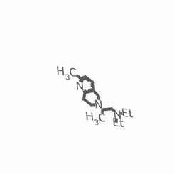 CCN(CC)CC(C)N1CCc2nc(C)ccc2C1